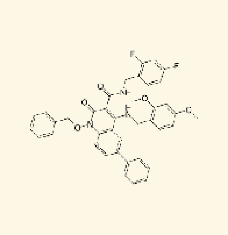 COc1ccc(CNc2c(C(=O)NCc3ccc(F)cc3F)c(=O)n(OCc3ccccc3)c3ncc(-c4ccccc4)cc23)c(OC)c1